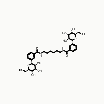 O=C(NCCCCCCNC(=O)c1cccc([C@H]2O[C@H](CO)[C@@H](O)[C@H](O)[C@@H]2O)c1)c1cccc([C@H]2O[C@H](CO)[C@@H](O)[C@H](O)[C@@H]2O)c1